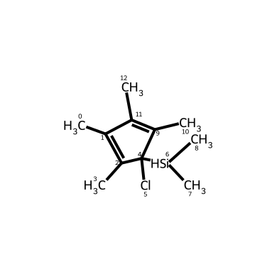 CC1=C(C)C(Cl)([SiH](C)C)C(C)=C1C